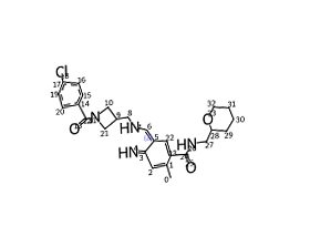 CC1=CC(=N)/C(=C\NCC2CN(C(=O)c3ccc(Cl)cc3)C2)C=C1C(=O)NCC1CCCCO1